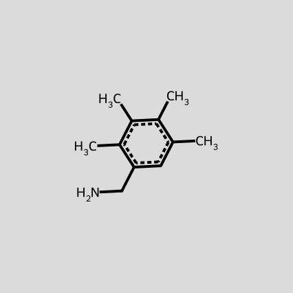 Cc1cc(CN)c(C)c(C)c1C